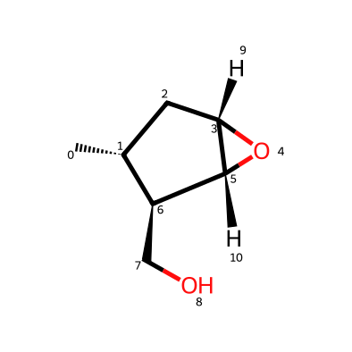 C[C@@H]1C[C@@H]2O[C@@H]2[C@H]1CO